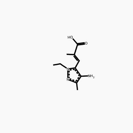 CCn1nc(C)c(N)c1C=C(C)C(=O)O